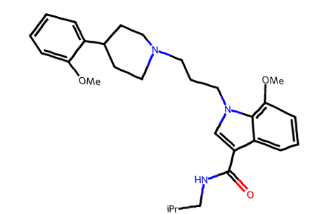 COc1ccccc1C1CCN(CCCn2cc(C(=O)NCC(C)C)c3cccc(OC)c32)CC1